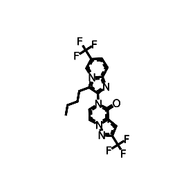 CCCCc1c(-n2ccn3nc(C(F)(F)F)cc3c2=O)nc2ccc(C(F)(F)F)cn12